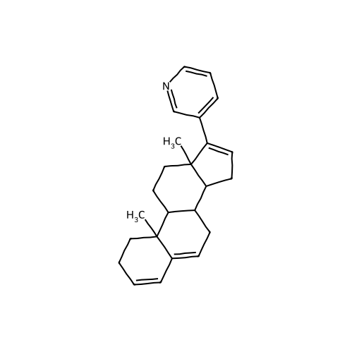 CC12CCC=CC1=CCC1C2CCC2(C)C(c3cccnc3)=CCC12